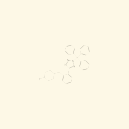 IC1CCC(Cc2ccccc2-c2nnn(C(c3ccccc3)(c3ccccc3)c3ccccc3)n2)CC1